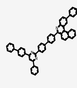 c1ccc(-c2ccc(-c3cc(-c4ccccc4)nc(-c4ccc(-c5ccc(-c6nc7ccc(-c8ccccc8)cc7c7c6ccc6ccccc67)cc5)cc4)n3)cc2)cc1